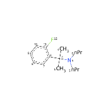 CCCN(CCC)C(C)(C)c1ccccc1F